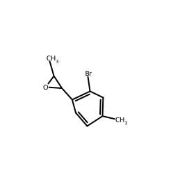 Cc1ccc(C2OC2C)c(Br)c1